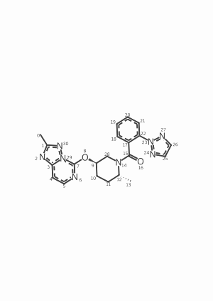 Cc1nc2ccnc(O[C@@H]3CC[C@@H](C)N(C(=O)c4ccccc4-n4nccn4)C3)n2n1